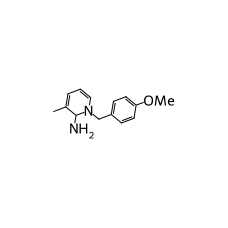 COc1ccc(CN2C=CC=C(C)C2N)cc1